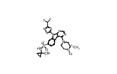 CCN1CCN(c2ncnc3c2c2ccc(S(=O)(=O)NC4(C#N)CC4)cc2n3-c2nnc(C(F)F)s2)C[C@@H]1C